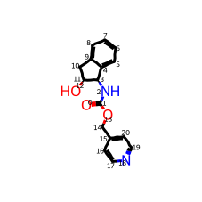 O=C(N[C@@H]1c2ccccc2C[C@@H]1O)OCc1ccncc1